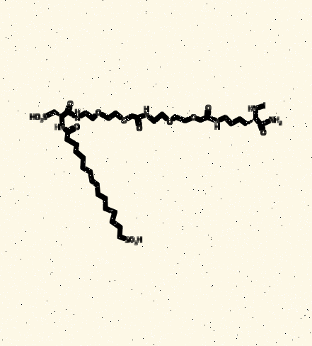 NC(=O)[C@H](CCCCNC(=O)COCCOCCNC(=O)COCCOCCNC(=O)[C@H](CS(=O)(=O)O)NC(=O)CCCCCCCCCCCCCCCS(=O)(=O)O)NI